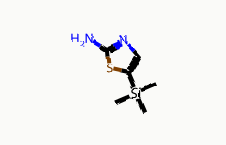 C[Si](C)(C)c1cnc(N)s1